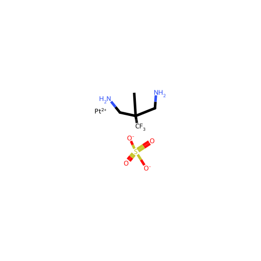 CC(CN)(CN)C(F)(F)F.O=S(=O)([O-])[O-].[Pt+2]